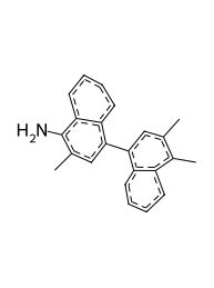 Cc1cc(-c2cc(C)c(N)c3ccccc23)c2ccccc2c1C